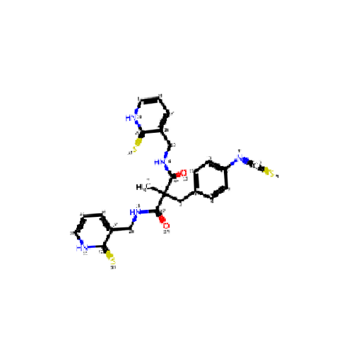 CC(Cc1ccc(N=C=S)cc1)(C(=O)NCc1ccc[nH]c1=S)C(=O)NCc1ccc[nH]c1=S